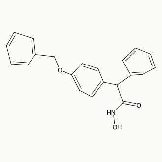 O=C(NO)C(c1ccccc1)c1ccc(OCc2ccccc2)cc1